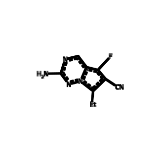 CCc1c(C#N)c(F)c2cnc(N)nn12